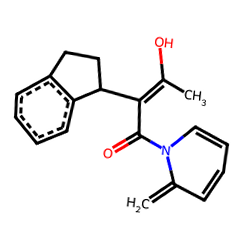 C=C1C=CC=CN1C(=O)/C(=C(\C)O)C1CCc2ccccc21